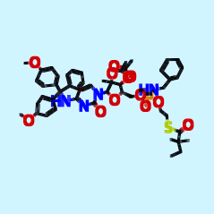 CCC(C)(C)C(=O)SCCOP(=O)(NCc1ccccc1)OC[C@H]1O[C@@H](n2ccc(NC(c3ccccc3)(c3ccc(OC)cc3)c3ccc(OC)cc3)nc2=O)C(C)(OC(C)=O)[C@H]1OC(C)=O